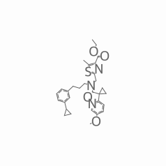 CCOC(=O)c1nc(CN(CCCc2cccc(C3CC3)c2)C(=O)C2(c3ccc(OC)cn3)CC2)sc1C